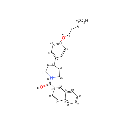 O=C(O)CCCOc1ccc(C2CCN(C(=O)c3ccc4ccccc4c3)CC2)cc1